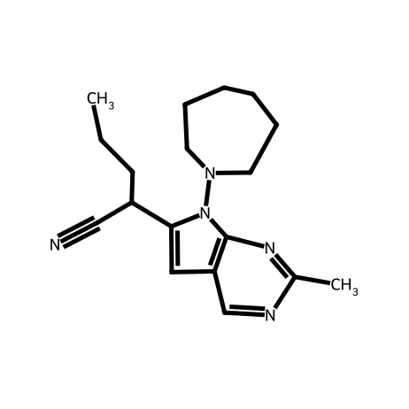 CCCC(C#N)c1cc2cnc(C)nc2n1N1CCCCCC1